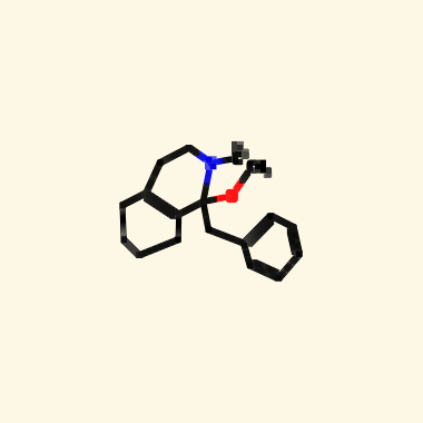 COC1(Cc2ccccc2)C2=C(CCCC2)CCN1C